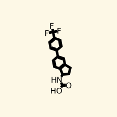 O=C(O)NC1CCc2cc(-c3ccc(C(F)(F)F)cc3)ccc21